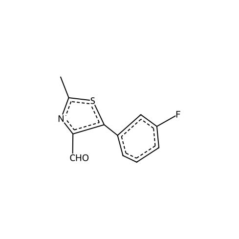 Cc1nc(C=O)c(-c2cccc(F)c2)s1